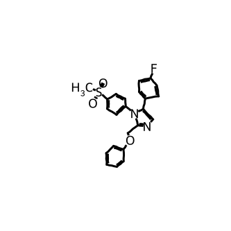 CS(=O)(=O)c1ccc(-n2c(-c3ccc(F)cc3)cnc2COc2ccccc2)cc1